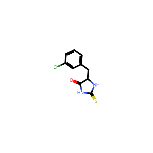 O=C1NC(=S)NC1Cc1cccc(Cl)c1